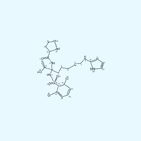 O=C(NC(CCCCCNc1ncc[nH]1)(NS(=O)(=O)c1c(Cl)cccc1Cl)C(=O)O)C1CCON1